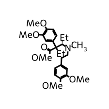 CC[C@H](N(C)CCc1ccc(OC)c(OC)c1)C(CC)(C(=O)OC)c1ccc(OC)c(OC)c1